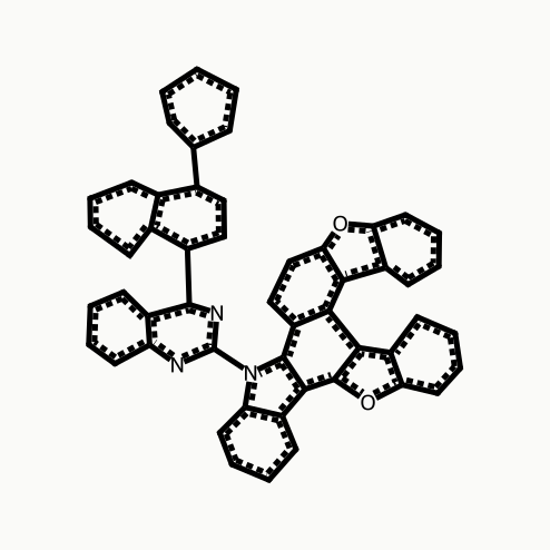 c1ccc(-c2ccc(-c3nc(-n4c5ccccc5c5c6oc7ccccc7c6c6c(ccc7oc8ccccc8c76)c54)nc4ccccc34)c3ccccc23)cc1